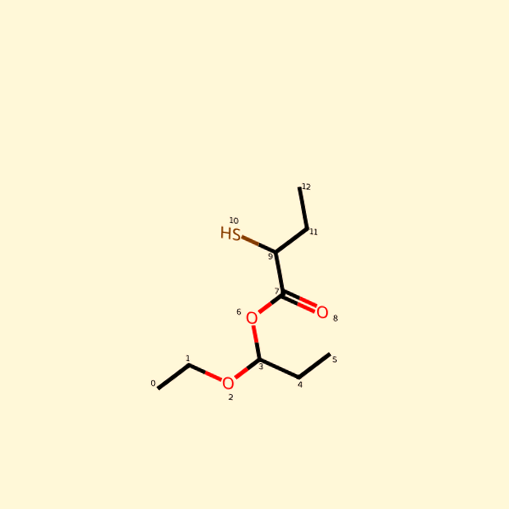 CCOC(CC)OC(=O)C(S)CC